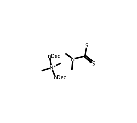 CCCCCCCCCC[N+](C)(C)CCCCCCCCCC.CN(C)C(=S)[S-]